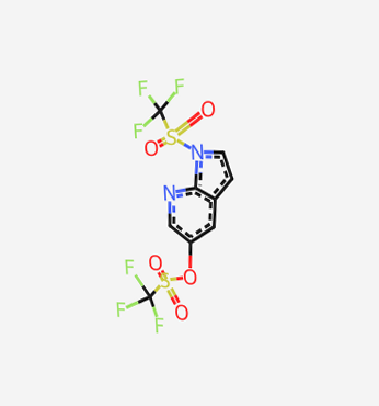 O=S(=O)(Oc1cnc2c(ccn2S(=O)(=O)C(F)(F)F)c1)C(F)(F)F